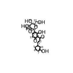 O=c1cc(-c2cccc(O)c2)oc2cc3c(c(O)c12)C1O[C@H](CO)[C@@H](O)[C@H](O)[C@@H]1O3